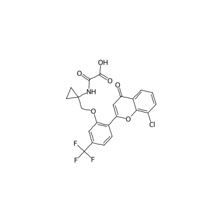 O=C(O)C(=O)NC1(COc2cc(C(F)(F)F)ccc2-c2cc(=O)c3cccc(Cl)c3o2)CC1